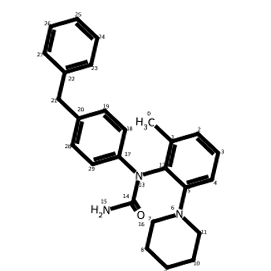 Cc1cccc(N2CCCCC2)c1N(C(N)=O)c1ccc(Cc2ccccc2)cc1